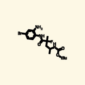 CC(CC(C)(F)C(=O)Nc1ccc(Br)cc1N)NC(=O)OC(C)(C)C